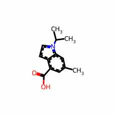 Cc1cc(C(=O)O)c2ccn(C(C)C)c2c1